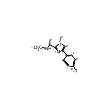 CC(NC(=O)O)c1nc(-c2ccc(I)cc2)cn1C